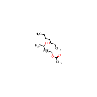 CC(C)O.CCCCCCC.CCOC(C)=O